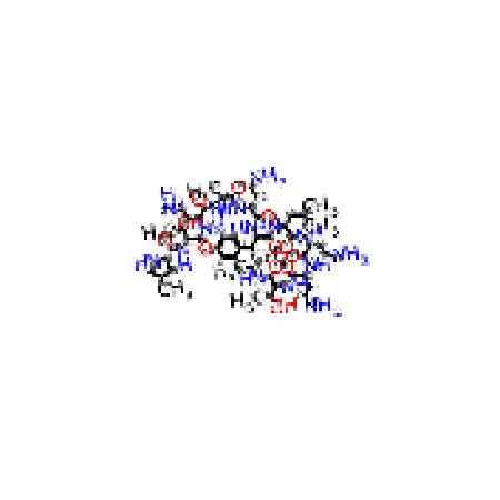 C=C(c1ccccc1)[C@@H](NC(=O)[C@H](CCN)NC(=O)[C@H](C)NC(=O)[C@H](CCN)NC(=O)[C@@H](NC(=O)[C@@H]1C[C@@H](C)CN1)C(C)O)C(=O)N[C@@H](CC(C)C)C(=O)N[C@@H](CCN)C(=O)N[C@@H](CCN)C(=O)N[C@H](C(=O)NCC)C(C)O